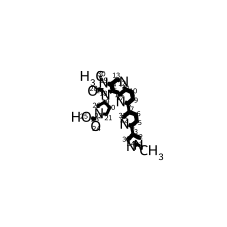 Cn1cc(-c2ccc(-c3ccc4ncc5c(c4n3)n([C@H]3CCN(C(=O)O)C3)c(=O)n5C)cn2)cn1